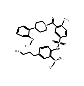 CCCCc1ccc(NS(=O)(=O)c2ccc(C)c(C(=O)N3CCN(c4ccccc4OC)CC3)c2)c(N(C)C)c1